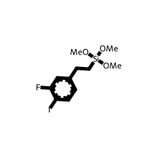 CO[Si](CCc1ccc(I)c(F)c1)(OC)OC